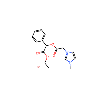 CCOC(=O)C(OC(=O)C[n+]1ccn(C)c1)c1ccccc1.[Br-]